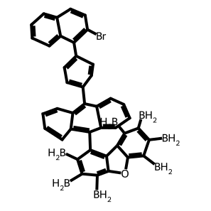 Bc1c(B)c(B)c2c(oc3c(B)c(B)c(B)c(-c4c5ccccc5c(-c5ccc(-c6c(Br)ccc7ccccc67)cc5)c5ccccc45)c32)c1B